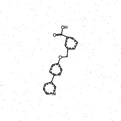 O=C(O)c1cccc(COc2ccc(-c3cccnc3)cc2)c1